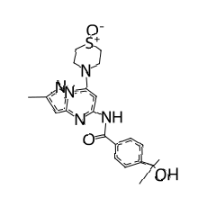 Cc1cc2nc(NC(=O)c3ccc(C(C)(C)O)cc3)cc(N3CC[S+]([O-])CC3)n2n1